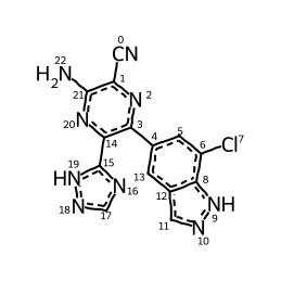 N#Cc1nc(-c2cc(Cl)c3[nH]ncc3c2)c(-c2ncn[nH]2)nc1N